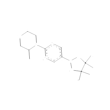 CC1COCCN1c1ncc(B2OC(C)(C)C(C)(C)O2)cn1